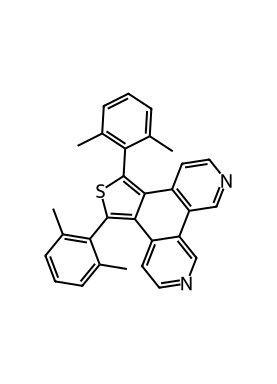 Cc1cccc(C)c1-c1sc(-c2c(C)cccc2C)c2c3ccncc3c3cnccc3c12